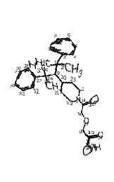 CC(C)(c1ccccc1)C(C1CCN(C(=O)COCC(=O)O)CC1)C(C)(C)c1ccccc1